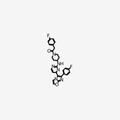 O=C(Cc1ccc(F)cc1)N1CCC(Nc2nccc(-c3c(-c4ccc(F)cc4)nc4occn34)n2)CC1